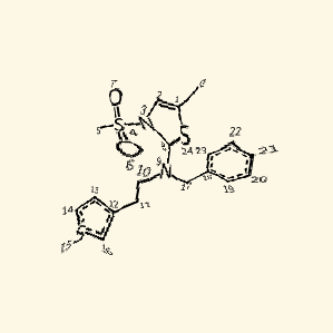 CC1=CN(S(C)(=O)=O)C(N(CCc2ccsc2)Cc2ccccc2)S1